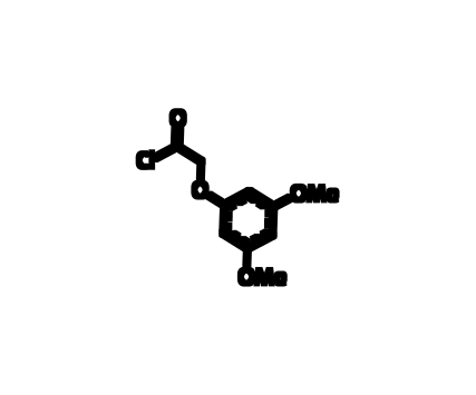 COc1cc(OC)cc(OCC(=O)Cl)c1